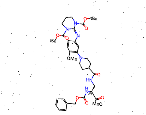 COC(=O)[C@H](CNC(=O)C1CCN(c2cc(N=C3N(C(=O)OC(C)(C)C)CCCN3C(=O)OC(C)(C)C)ccc2OC)CC1)NC(=O)OCc1ccccc1